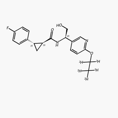 [2H]C([2H])([2H])C([2H])([2H])Oc1ccc([C@H](CO)NC(=O)[C@H]2C[C@@H]2c2ccc(F)cc2)cn1